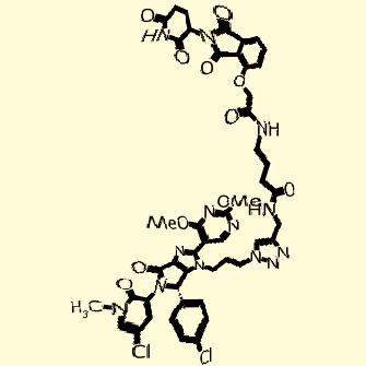 COc1ncc(-c2nc3c(n2CCCn2cc(CNC(=O)CCCNC(=O)COc4cccc5c4C(=O)N(C4CCC(=O)NC4=O)C5=O)nn2)[C@H](c2ccc(Cl)cc2)N(c2cc(Cl)cn(C)c2=O)C3=O)c(OC)n1